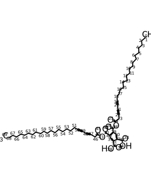 CCCCCCCCCCCCCCCCCCCC#CC#CCC(=O)OC(=O)c1cc(C(=O)O)c(C(=O)O)cc1C(=O)OC(=O)CC#CC#CCCCCCCCCCCCCCCCCCCC